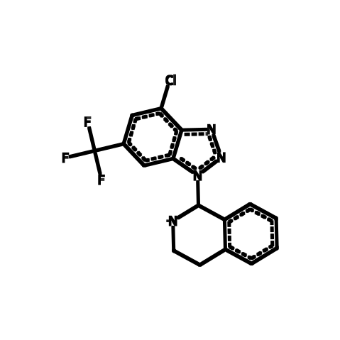 FC(F)(F)c1cc(Cl)c2nnn(C3[N]CCc4ccccc43)c2c1